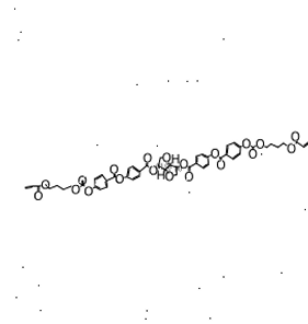 C=CC(=O)OCCCCOC(=O)Oc1ccc(C(=O)Oc2ccc(C(=O)O[C@H]3CO[C@@H]4[C@H]3OC[C@H]4OC(=O)c3ccc(OC(=O)c4ccc(OC(=O)OCCCCOC(=O)C=C)cc4)cc3)cc2)cc1